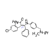 CC(C)N(C)Cc1ccc(N/C(=C2\C(=O)Nc3cc(Cl)ccc32)c2ccccc2)cc1